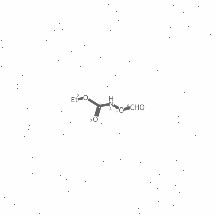 CCOC(=O)NOC=O